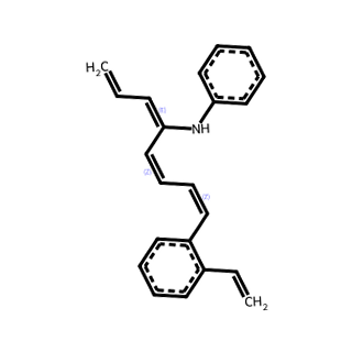 C=C\C=C(/C=C\C=C/c1ccccc1C=C)Nc1ccccc1